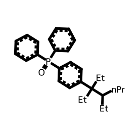 CCCC(CC)C(CC)(CC)c1ccc(P(=O)(c2ccccc2)c2ccccc2)cc1